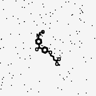 COC(=O)CCCOc1ccc(C(=O)c2ccc(N=C=O)cc2)cc1